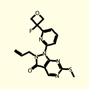 C=CCn1c(=O)c2cnc(SC)nc2n1-c1cccc(C2(F)COC2)n1